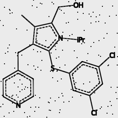 Cc1c(Cc2ccncc2)c(Sc2cc(Cl)cc(Cl)c2)n(C(C)C)c1CO